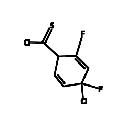 FC1=CC(F)(Cl)C=CC1C(=S)Cl